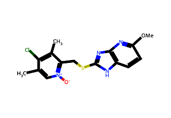 COc1ccc2[nH]c(SCc3c(C)c(Cl)c(C)c[n+]3[O-])nc2n1